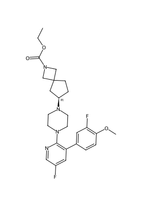 CCOC(=O)N1CC2(CC[C@@H](N3CCN(c4ncc(F)cc4-c4ccc(OC)c(F)c4)CC3)C2)C1